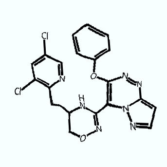 Clc1cnc(CC2CON=C(c3c(Oc4ccccc4)nnc4ccnn34)N2)c(Cl)c1